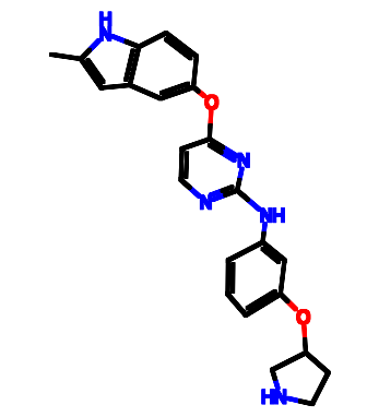 Cc1cc2cc(Oc3ccnc(Nc4cccc(OC5CCNC5)c4)n3)ccc2[nH]1